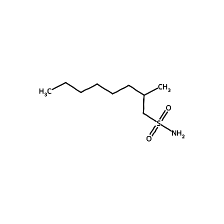 CCCCCCC(C)CS(N)(=O)=O